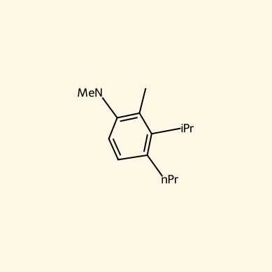 CCCc1ccc(NC)c(C)c1C(C)C